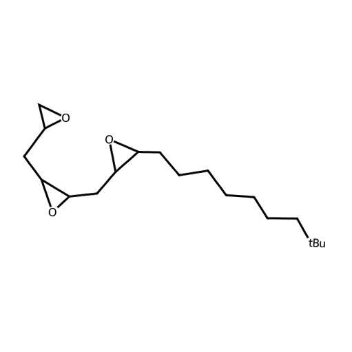 CC(C)(C)CCCCCCCC1OC1CC1OC1CC1CO1